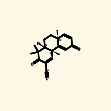 [C-]#[N+]C1=C[C@]2(C)C3=CC(=O)C=C[C@]3(C)CC[C@@H]2C(C)(C)C1=O